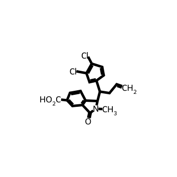 C=CCC(c1ccc(Cl)c(Cl)c1)C1c2ccc(C(=O)O)cc2C(=O)N1C